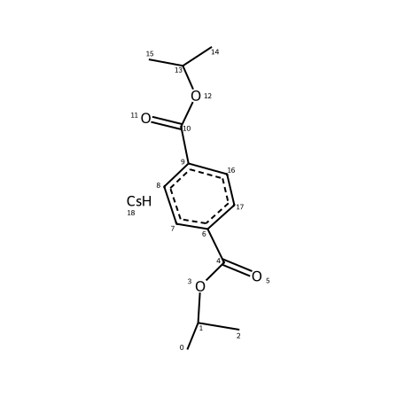 CC(C)OC(=O)c1ccc(C(=O)OC(C)C)cc1.[CsH]